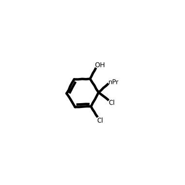 CCCC1(Cl)C(Cl)=CC=CC1O